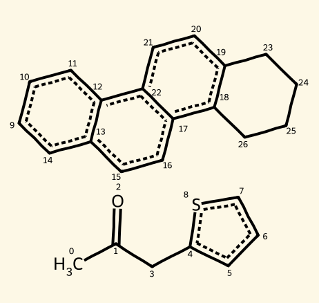 CC(=O)Cc1cccs1.c1ccc2c(c1)ccc1c3c(ccc12)CCCC3